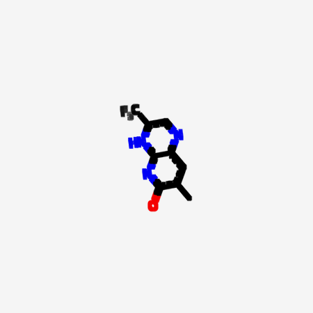 Cc1cc2ncc(C(F)(F)F)[nH]c-2nc1=O